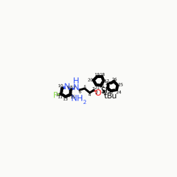 CC(C)(C)[Si](OCCCCNc1ncc(F)cc1N)(c1ccccc1)c1ccccc1